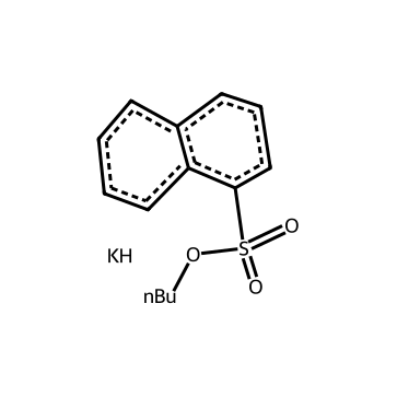 CCCCOS(=O)(=O)c1cccc2ccccc12.[KH]